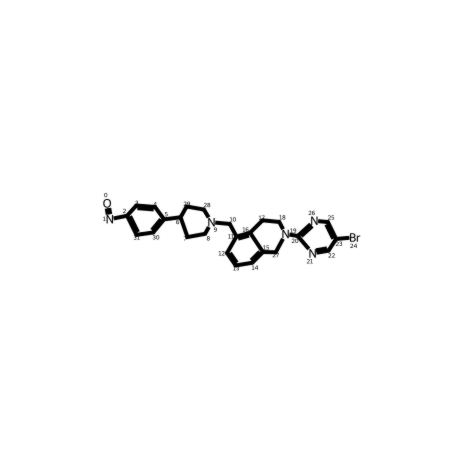 O=Nc1ccc(C2CCN(Cc3cccc4c3CCN(c3ncc(Br)cn3)C4)CC2)cc1